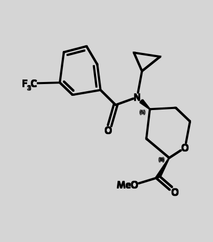 COC(=O)[C@H]1C[C@@H](N(C(=O)c2cccc(C(F)(F)F)c2)C2CC2)CCO1